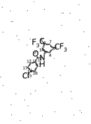 O=C(Nc1cc(C(F)(F)F)cc(C(F)(F)F)c1)c1ccc(Cl)cc1